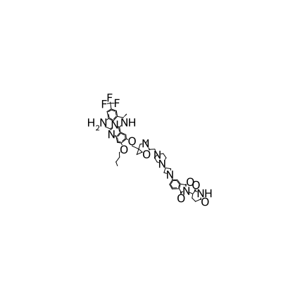 CCCCOc1cc2nc(C)nc(N[C@H](C)c3cc(N)cc(C(F)(F)F)c3)c2cc1OCC1(CN(C)C(=O)CN2CCN(C3CN(c4ccc5c(c4)C(=O)N(C4CCC(=O)NC4=O)C5=O)C3)CC2)CC1